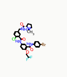 CN1CCC[C@H]1C(=O)NCc1ccc(Cl)c(C(=O)Nc2ccc(OCC(F)F)c(C(=O)Nc3ccc(Br)cc3)c2)c1